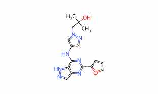 CC(C)(O)Cn1cc(Nc2nc(-c3ccco3)nc3cn[nH]c23)cn1